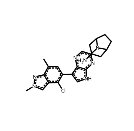 Cc1cc(-c2c[nH]c3nc(N4C5CCC4CC(N)C5)cnc23)c(Cl)c2cn(C)nc12